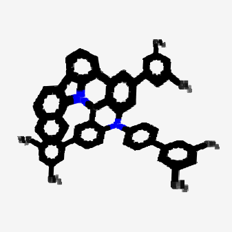 Cc1cc(C)cc(-c2ccc(N3c4ccc(-c5cc(C)cc(C)c5)cc4B4c5c(cc(-c6cc(C)cc(C)c6)cc53)-c3cccc5c6ccc7ccccc7c6n4c35)cc2)c1